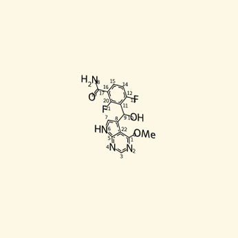 COc1ncnc2[nH]cc(C(O)c3c(F)ccc(C(N)=O)c3F)c12